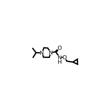 CC(C)N1CCN(C(=O)NOCC2CC2)CC1